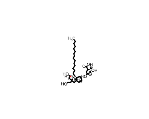 CCCCCCCCCCCCCCCC[N+](C)(C)C(CCO)(CCO)Cc1ccccc1.O=C(O)CC(C(=O)O)S(=O)(=O)O